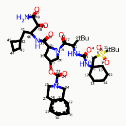 CC(C)(C)C(NC(=O)NC1(CS(=O)(=O)C(C)(C)C)CCCCC1)C(=O)N1CC(OC(=O)N2CCc3ccccc3C2)CC1C(=O)NC(CC1CCC1)C(=O)C(N)=O